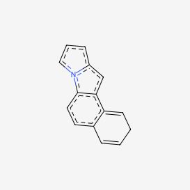 C1=Cc2ccc3c(cc4cccn43)c2=CC1